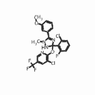 COc1cccc(C2=NC(Oc3ncc(C(F)(F)F)cc3Cl)(c3c(F)cccc3Cl)NN2C)c1